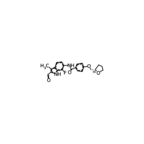 Cc1c(C=O)[nH]c2c(F)c(NC(=O)c3ccc(OC[C@@H]4CCCO4)cc3)ccc12